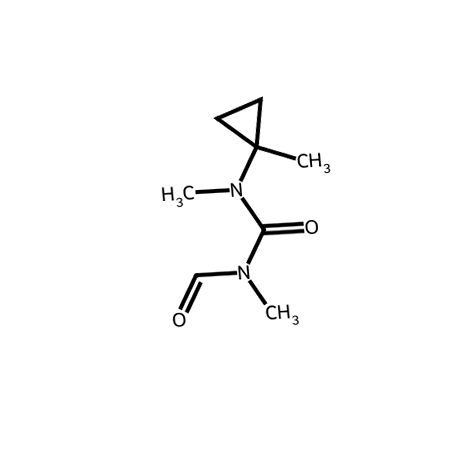 CN(C=O)C(=O)N(C)C1(C)CC1